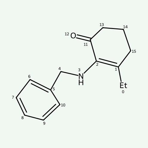 CCC1=C(NCc2ccccc2)C(=O)CCC1